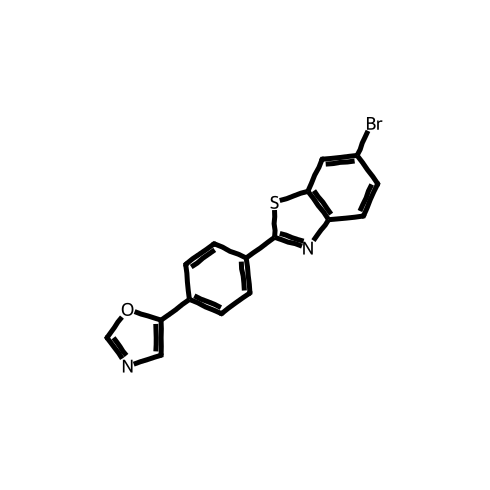 Brc1ccc2nc(-c3ccc(-c4cnco4)cc3)sc2c1